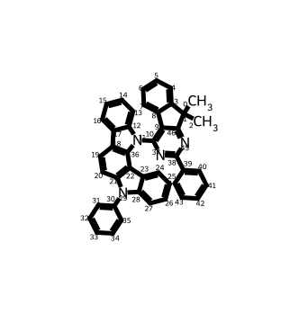 CC1(C)c2ccccc2-c2c(-n3c4ccccc4c4ccc5c(c6ccccc6n5-c5ccccc5)c43)nc(-c3ccccc3)nc21